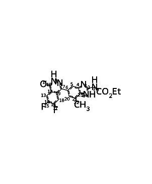 CCOC(=O)Nc1nc2cc(-c3n[nH]c(=O)c4cc(F)c(F)cc34)cc(C)c2[nH]1